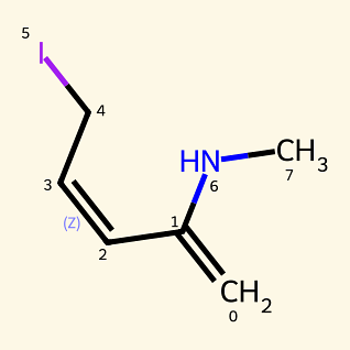 C=C(/C=C\CI)NC